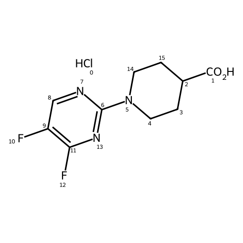 Cl.O=C(O)C1CCN(c2ncc(F)c(F)n2)CC1